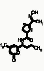 CCCC(NC(=O)C1CSC(/C(C)=N/O)=N1)c1cc(C)cc(=O)o1